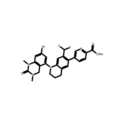 COC(=O)c1ccc(-c2cc3c(cc2C(F)F)N(c2cc(C(C)C)cc4c2CN(C)C(=O)N4C)CCC3)cn1